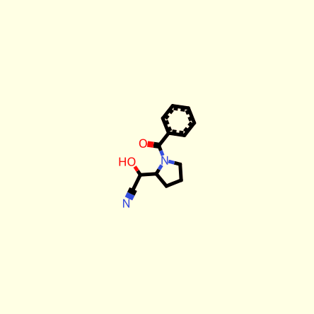 N#CC(O)C1CCCN1C(=O)c1ccccc1